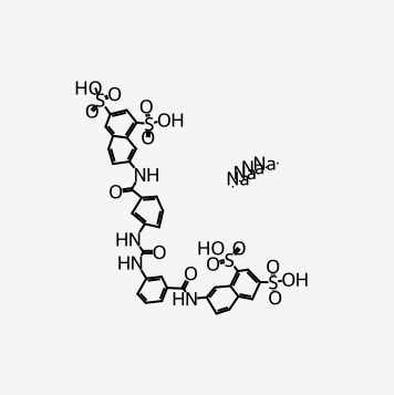 O=C(Nc1cccc(C(=O)Nc2ccc3cc(S(=O)(=O)O)cc(S(=O)(=O)O)c3c2)c1)Nc1cccc(C(=O)Nc2ccc3cc(S(=O)(=O)O)cc(S(=O)(=O)O)c3c2)c1.[Na].[Na].[Na].[Na]